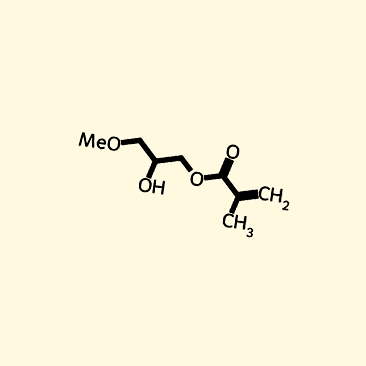 [CH2]OCC(O)COC(=O)C(=C)C